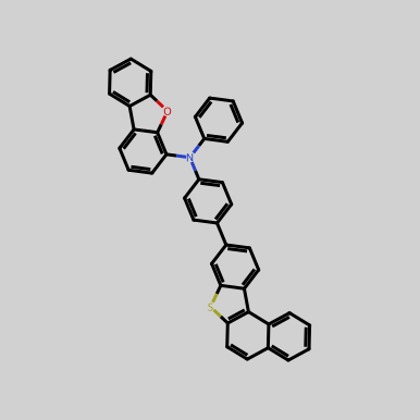 c1ccc(N(c2ccc(-c3ccc4c(c3)sc3ccc5ccccc5c34)cc2)c2cccc3c2oc2ccccc23)cc1